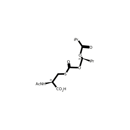 CC(=O)N[C@@H](CSC(=O)O[C@@H](OC(=O)C(C)C)C(C)C)C(=O)O